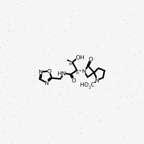 C[C@@H](O)[C@@H](C(=O)NCc1ncno1)N1CC2(CCCN2C(=O)O)C1=O